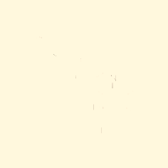 CCCCCCCCCCCC[C@H]1CO[C@H](c2ccc(-c3ccccc3C(CCCCCC)C(F)CC)nc2)OC1